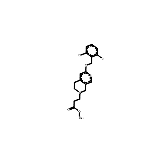 CC(C)(C)OC(=O)CCN1CCc2cc(OCc3c(Cl)cccc3Cl)ncc2C1